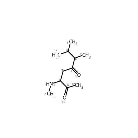 CNC(CC(=O)C(C)C(C)C)C(C)=O